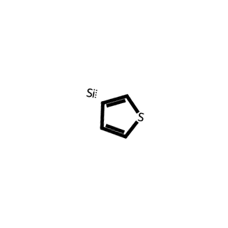 [Si].c1ccsc1